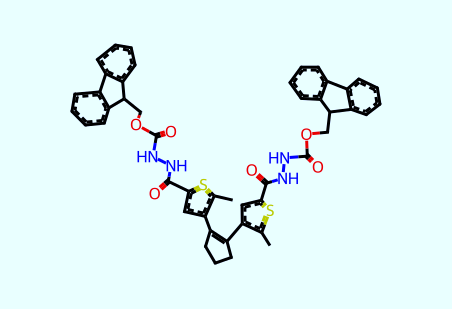 Cc1sc(C(=O)NNC(=O)OCC2c3ccccc3-c3ccccc32)cc1C1=C(c2cc(C(=O)NNC(=O)OCC3c4ccccc4-c4ccccc43)sc2C)CCC1